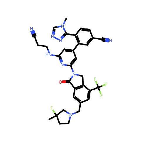 Cn1cnnc1-c1ccc(C#N)cc1-c1cc(NCCC#N)nc(N2Cc3c(cc(CN4CCC(C)(F)C4)cc3C(F)(F)F)C2=O)c1